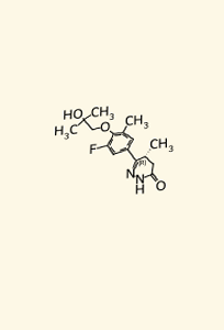 Cc1cc(C2=NNC(=O)C[C@H]2C)cc(F)c1OCC(C)(C)O